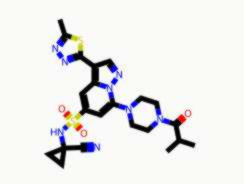 Cc1nnc(-c2cnn3c(N4CCN(C(=O)C(C)C)CC4)cc(S(=O)(=O)NC4(C#N)CC4)cc23)s1